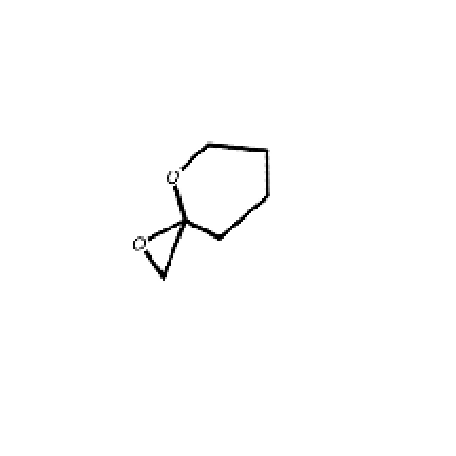 C1CCC2(CO2)OC1